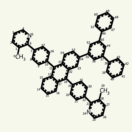 Cc1cccnc1-c1ccc(-c2c3ccccc3c(-c3ccc(-c4ncccc4C)cc3)c3cc(-c4cc(-c5ccccc5)cc(-c5ccccc5)c4)ccc23)cc1